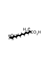 C=C(CCCCCCCC/C=C\CCCCCCCC)C(=O)O